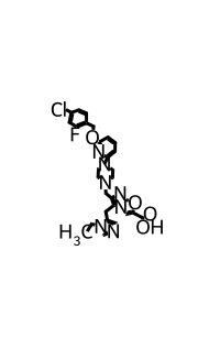 CCn1cncc1Cc1c(CN2CCN(c3cccc(OCc4ccc(Cl)cc4F)n3)CC2)nc2oc(C(=O)O)cn12